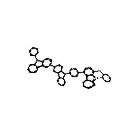 c1ccc(-n2c3ccccc3c3cc(-c4ccc5c(c4)c4ccccc4n5-c4ccc(-c5ccc6c7c5c5ccccc5n7-c5ccccc5O6)cc4)ccc32)cc1